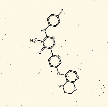 Cn1c(Nc2ccc(F)cc2)ncc(-c2ccc(Oc3ccnc4c3NCCS4)cn2)c1=O